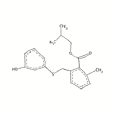 Cc1cccc(CSc2cccc(O)c2)c1C(=O)OCC(C)C